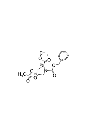 COC(=O)[C@@H]1C[C@@H](OS(C)(=O)=O)CN1C(=O)OCc1ccccc1